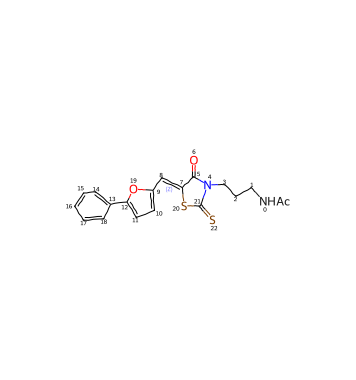 CC(=O)NCCCN1C(=O)/C(=C/c2ccc(-c3ccccc3)o2)SC1=S